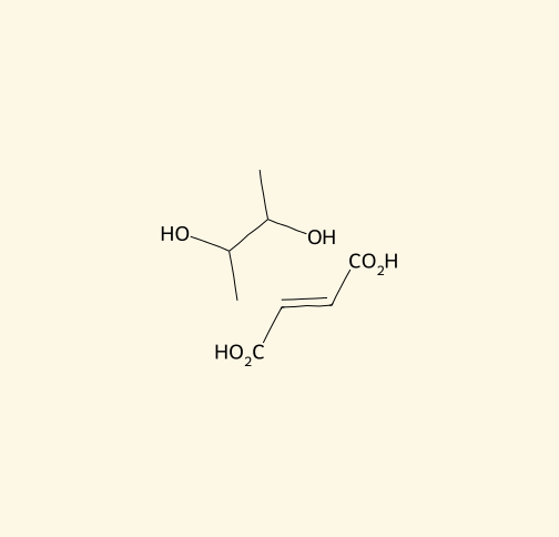 CC(O)C(C)O.O=C(O)C=CC(=O)O